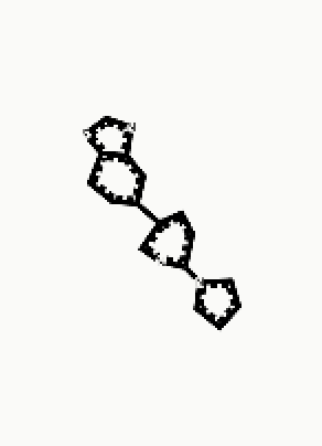 c1ccn(-c2ccc(-c3ccc4scnc4c3)cn2)c1